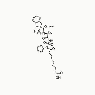 C=C[C@@H]1C[C@]1(NC(=O)C1(N)Cc2ccccc2C1)C(=O)NS(=O)(=O)N(C(=O)CCCCCCCC(=O)O)c1ccccc1